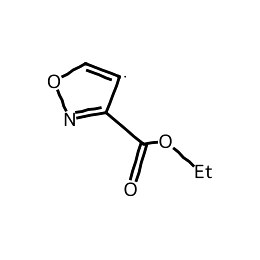 CCOC(=O)c1[c]con1